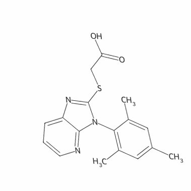 Cc1cc(C)c(-n2c(SCC(=O)O)nc3cccnc32)c(C)c1